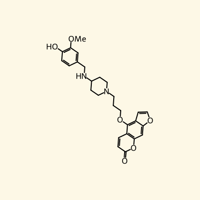 COc1cc(CNC2CCN(CCCOc3c4ccoc4cc4oc(=O)ccc34)CC2)ccc1O